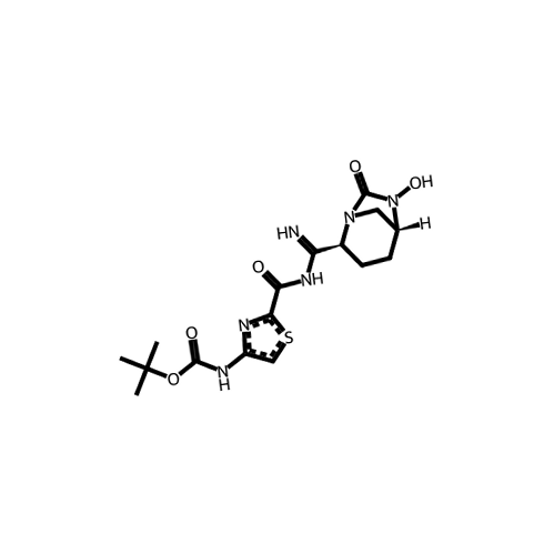 CC(C)(C)OC(=O)Nc1csc(C(=O)NC(=N)[C@@H]2CC[C@@H]3CN2C(=O)N3O)n1